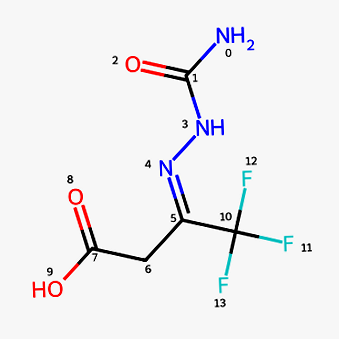 NC(=O)NN=C(CC(=O)O)C(F)(F)F